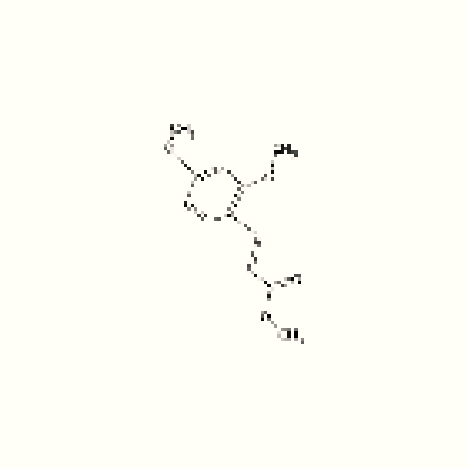 COC(=O)C=Cc1ccc(OC)cc1OC